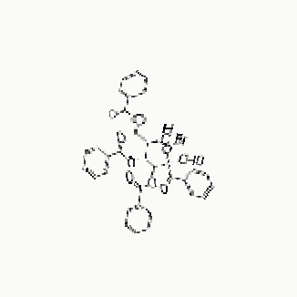 O=C[C@](OBr)(C(=O)c1ccccc1)[C@@H](OC(=O)c1ccccc1)[C@H](OC(=O)c1ccccc1)[C@H](O)COC(=O)c1ccccc1